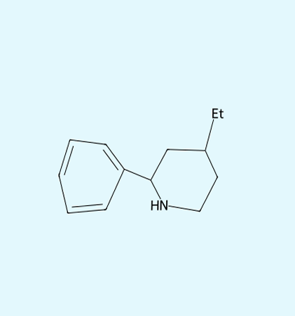 CCC1CCNC(c2ccccc2)C1